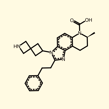 C[C@H]1CCc2c(ccc3c2nc(CCc2ccccc2)n3C2CC3(CNC3)C2)N1C(=O)O